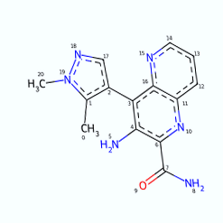 Cc1c(-c2c(N)c(C(N)=O)nc3cccnc23)cnn1C